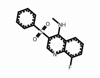 CNc1c(S(=O)(=O)c2ccccc2)cnc2c(F)cccc12